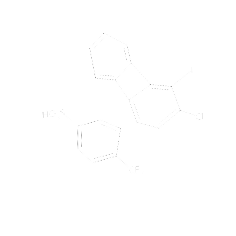 Clc1ccc2c(c1I)-c1ccccc1-2.O=S(=O)(O)c1ccc(C(F)(F)F)cc1